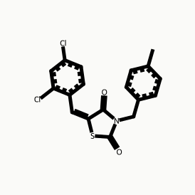 Cc1ccc(CN2C(=O)SC(=Cc3ccc(Cl)cc3Cl)C2=O)cc1